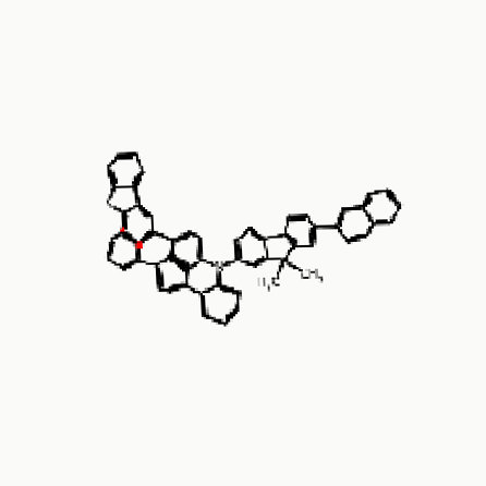 CC1(C)c2cc(-c3ccc4ccccc4c3)ccc2-c2ccc(N(c3ccc(-c4ccc5sc6ccccc6c5c4)cc3)c3ccccc3-c3ccc(-c4ccccc4)cc3)cc21